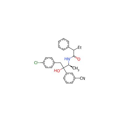 CCC(C(=O)N[C@@H](C)C(O)(Cc1ccc(Cl)cc1)c1cccc(C#N)c1)c1ccccc1